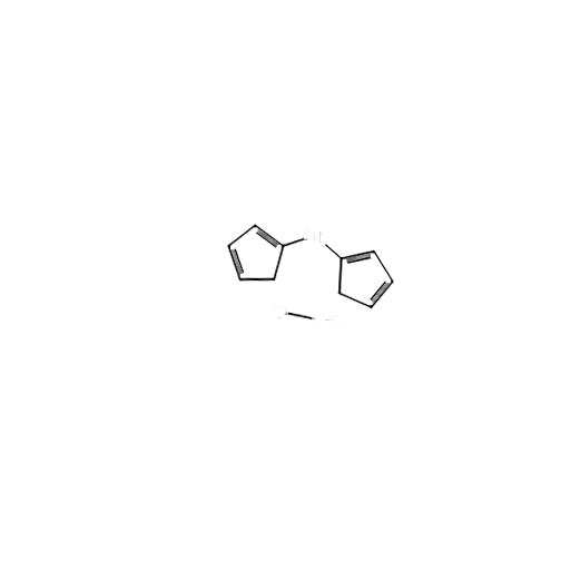 C1=CC[C]([Hf][C]2=CC=CC2)=C1.CCl